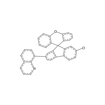 Clc1ccc2c(c1)C1(c3ccccc3Oc3ccccc31)c1cc(-c3cccc4cccnc34)ccc1-2